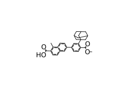 COC(=O)c1ccc(-c2ccc3c(C)c(C(=O)O)ccc3c2)cc1C12CC3CC(CC(C3)C1)C2